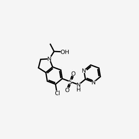 CC(O)N1CCc2cc(Cl)c(S(=O)(=O)Nc3ncccn3)cc21